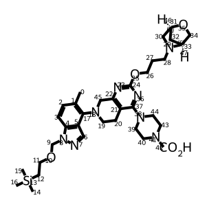 Cc1ccc2c(cnn2COCC[Si](C)(C)C)c1N1CCc2c(nc(OCCCN3C[C@@H]4C[C@H]3CO4)nc2N2CCN(C(=O)O)CC2)C1